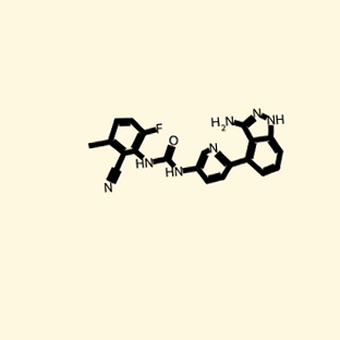 Cc1ccc(F)c(NC(=O)Nc2ccc(-c3cccc4[nH]nc(N)c34)nc2)c1C#N